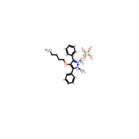 CCCCCOc1c(-c2ccccc2)n(C)[n+](C)c1-c1ccccc1.[O-][Cl+3]([O-])([O-])[O-]